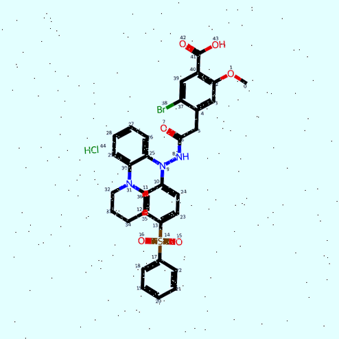 COc1cc(CC(=O)NN(c2ccc(S(=O)(=O)c3ccccc3)cc2)c2ccccc2N2CCCCC2)c(Br)cc1C(=O)O.Cl